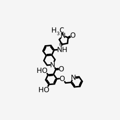 CN1C[C@H](Nc2cccc3c2CN(C(=O)c2c(O)cc(O)cc2OCc2ccccn2)CC3)CC1=O